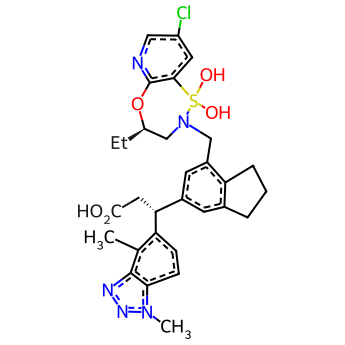 CC[C@@H]1CN(Cc2cc([C@@H](CC(=O)O)c3ccc4c(nnn4C)c3C)cc3c2CCC3)S(O)(O)c2cc(Cl)cnc2O1